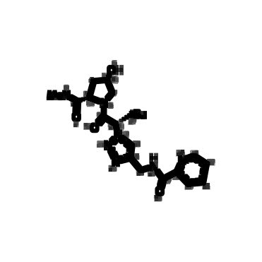 CNC(=O)[C@@H]1C[C@@H](O)CN1C(=O)[C@@H](n1cc(CNC(=O)c2ccccn2)nn1)C(C)(C)C